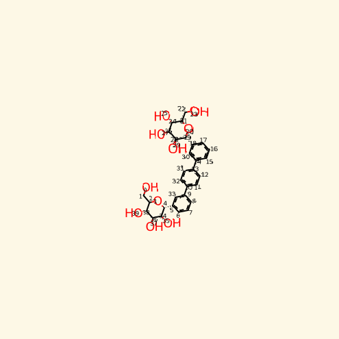 OCC1O[C@H](c2cccc(-c3ccc(-c4cccc([C@H]5OC(CO)[C@@H](O)C(O)C5O)c4)cc3)c2)C(O)C(O)[C@@H]1O